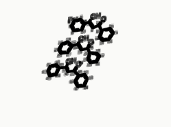 O=C(/C=C(\O)c1ccccc1)c1ccccc1.O=C(/C=C(\O)c1ccccc1)c1ccccc1.O=C(/C=C(\O)c1ccccc1)c1ccccc1.[Fe]